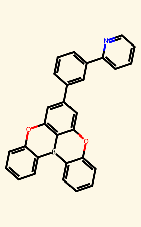 c1ccc(-c2cccc(-c3cc4c5c(c3)Oc3ccccc3B5c3ccccc3O4)c2)nc1